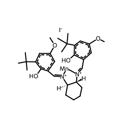 COc1cc(C=[N+]2[Mn][N+](=Cc3cc(OC)cc(C(C)(C)C)c3O)[C@@H]3CCCC[C@H]32)c(O)c(C(C)(C)C)c1.[I-]